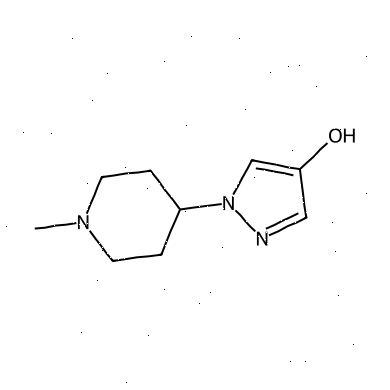 CN1CCC(n2cc(O)cn2)CC1